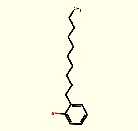 CCCCCCCCCCc1ccccc1Br